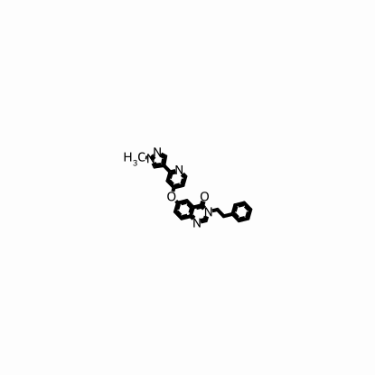 Cn1cc(-c2cc(Oc3ccc4ncn(CCc5ccccc5)c(=O)c4c3)ccn2)cn1